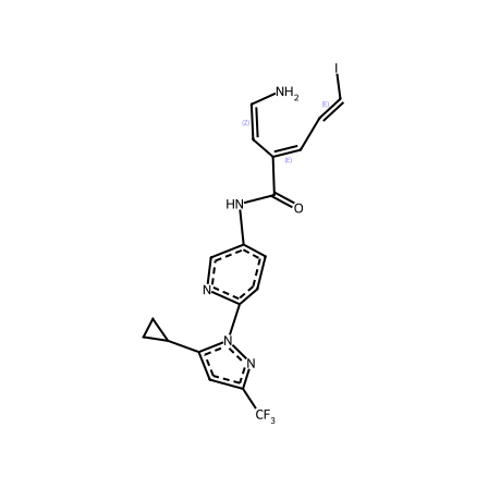 N\C=C/C(=C\C=C\I)C(=O)Nc1ccc(-n2nc(C(F)(F)F)cc2C2CC2)nc1